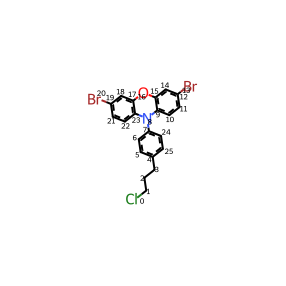 ClCCCc1ccc(N2c3ccc(Br)cc3Oc3cc(Br)ccc32)cc1